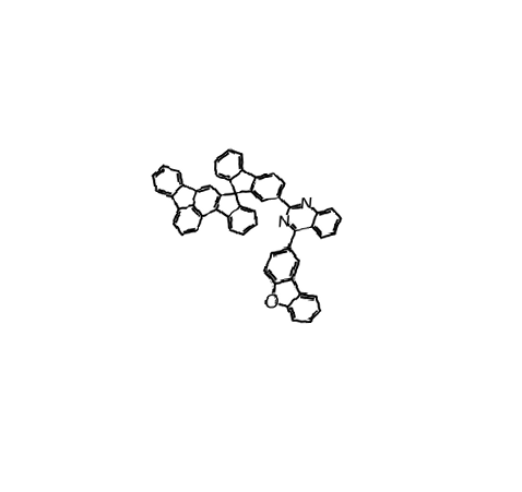 c1ccc2c(c1)-c1cccc3c4c(cc-2c13)C1(c2ccccc2-c2ccc(-c3nc(-c5ccc6oc7ccccc7c6c5)c5ccccc5n3)cc21)c1ccccc1-4